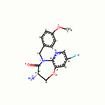 COc1ccc(CN2C(=O)[C@@H](N)COc3cc(F)cnc32)cc1